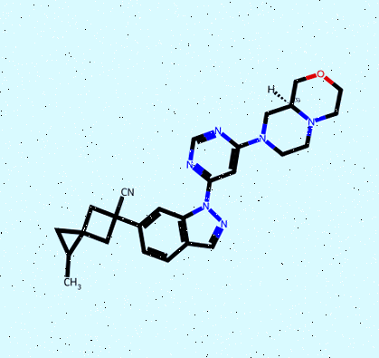 CC1CC12CC(C#N)(c1ccc3cnn(-c4cc(N5CCN6CCOC[C@@H]6C5)ncn4)c3c1)C2